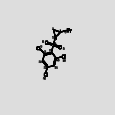 CC(C)C1CN1S(=O)(=O)c1c(Cl)cc(Cl)cc1Cl